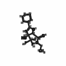 CCOC(=O)C1OC(c2ccccc2)=NC1(O)C(F)(F)F